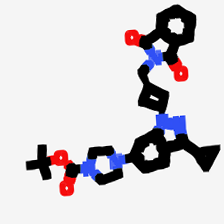 CC(C)(C)OC(=O)N1CCN(c2ccc3c(C4CC4)nn([C@H]4C[C@H](CN5C(=O)c6ccccc6C5=O)C4)c3c2)CC1